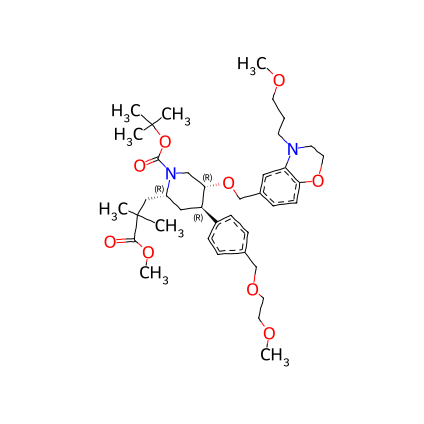 COCCCN1CCOc2ccc(CO[C@H]3CN(C(=O)OC(C)(C)C)[C@@H](CC(C)(C)C(=O)OC)C[C@@H]3c3ccc(COCCOC)cc3)cc21